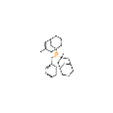 CC1CC2CCCC(P(Cc3ccccc3)C3(C)CC4CCCC(C4)C3)(C1)C2